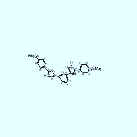 CSc1ccc(-c2nc(-c3cccc(-c4c[nH]c(-c5ccc(SC)cc5)n4)c3)c[nH]2)cc1